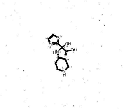 CC(O)C(O)(NC1CCNCC1)c1nccs1